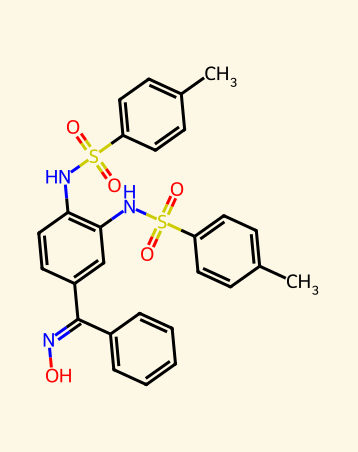 Cc1ccc(S(=O)(=O)Nc2ccc(/C(=N/O)c3ccccc3)cc2NS(=O)(=O)c2ccc(C)cc2)cc1